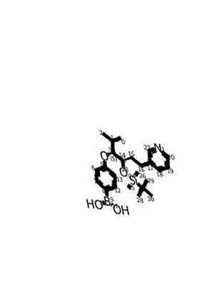 CC(C)[C@H](Oc1ccc(B(O)O)cc1)[C@@H](CCc1cccnc1)O[Si](C)(C)C(C)(C)C